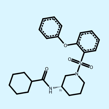 O=C(N[C@H]1CCCN(S(=O)(=O)c2ccccc2Oc2ccccc2)C1)C1CCCCC1